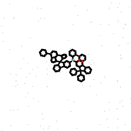 c1ccc(-c2ccccc2N(c2ccc3c(c2)C(c2ccccc2)(c2ccccc2)c2ccccc2-3)c2ccc3c(c2)C2(c4ccccc4-3)c3ccccc3-c3ccc(-c4ccccc4)c4cccc2c34)cc1